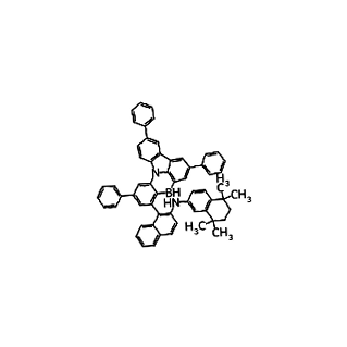 CC1(C)CCC(C)(C)c2cc(Nc3ccc4ccccc4c3-c3cc(-c4ccccc4)cc4c3Bc3cc(-c5ccccc5)cc5c6cc(-c7ccccc7)ccc6n-4c35)ccc21